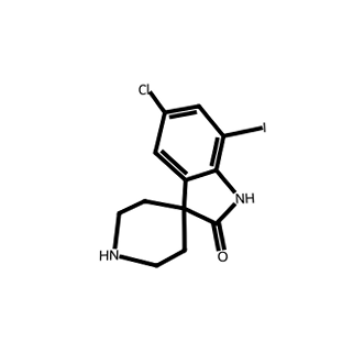 O=C1Nc2c(I)cc(Cl)cc2C12CCNCC2